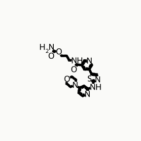 NC(=O)OCCCNC(=O)c1cncc(-c2cnc(Nc3cc(N4CCOCC4)ccn3)s2)c1